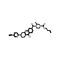 C#Cc1ccc(C2CCc3c(nc4cc(C(=O)N5CCN(C(=O)OCCC=C)CC5C)ccc4c3Cl)C2)nc1